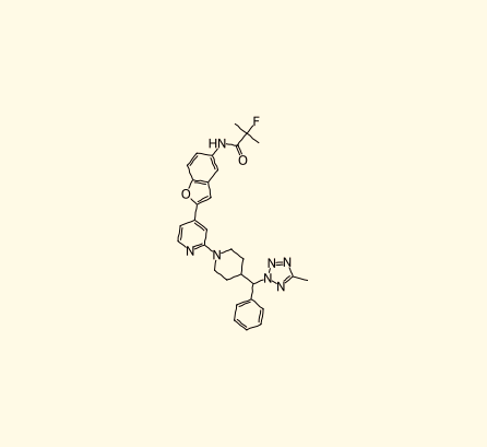 Cc1nnn(C(c2ccccc2)C2CCN(c3cc(-c4cc5cc(NC(=O)C(C)(C)F)ccc5o4)ccn3)CC2)n1